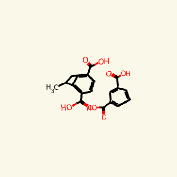 CC1Cc2c(C(=O)O)ccc(C(=O)O)c21.O=C(O)c1cccc(C(=O)O)c1